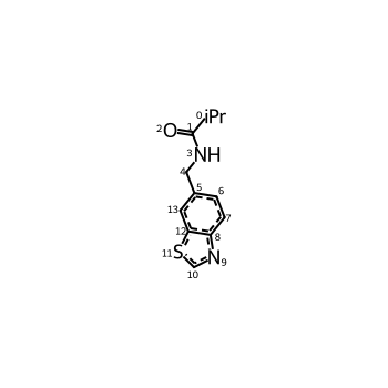 CC(C)C(=O)NCc1ccc2ncsc2c1